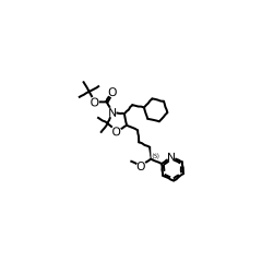 CO[C@@H](CCCC1OC(C)(C)N(C(=O)OC(C)(C)C)C1CC1CCCCC1)c1ccccn1